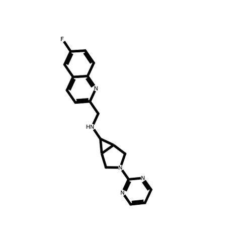 Fc1ccc2nc(CNC3C4CN(c5ncccn5)CC43)ccc2c1